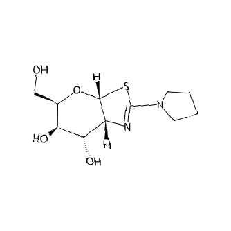 OC[C@H]1O[C@@H]2SC(N3CCCC3)=N[C@@H]2[C@H](O)[C@H]1O